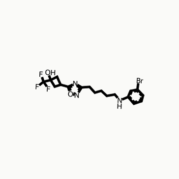 OC1(C(F)(F)F)CC(c2nc(CCCCCNc3cccc(Br)c3)no2)C1